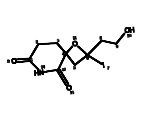 O=C1CCC2(CC(I)(CCO)O2)C(=O)N1